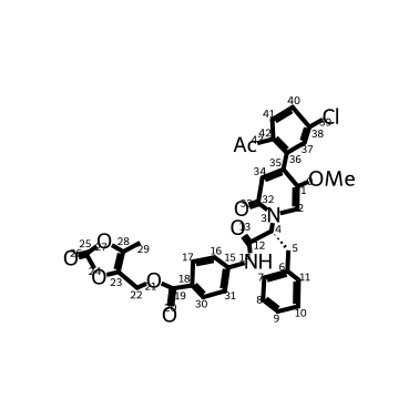 COc1cn([C@H](Cc2ccccc2)C(=O)Nc2ccc(C(=O)OCc3oc(=O)oc3C)cc2)c(=O)cc1-c1cc(Cl)ccc1C(C)=O